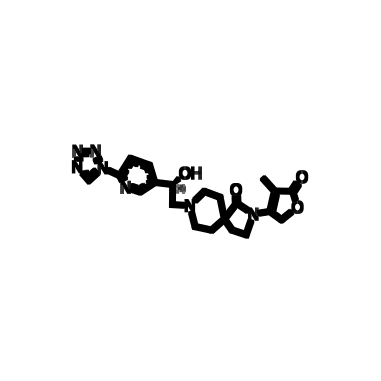 CC1=C(N2CCC3(CCN(C[C@H](O)c4ccc(-n5cnnn5)nc4)CC3)C2=O)COC1=O